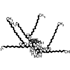 CCCCCCCCCCCCCCCCCC(=O)O[C@H](CCCCCCCCCCC)CC(=O)N[C@H]1[C@@H](OC(=O)C[C@@H](CCCCCCCCCCC)OC(=O)CCCCCCCCCCCCC)[C@@](O)(P(=O)(O)O)[C@@H](CO)O[C@H]1C(O)[C@H]1O[C@H](O)[C@@H](NC(=O)C[C@@H](CCCCCCCCCCC)OC(=O)CCCCCCCCCCCCCCC)[C@@H](O)[C@@H]1O